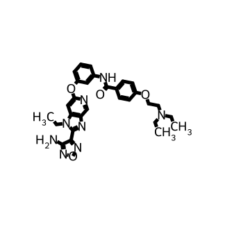 CCN(CC)CCOc1ccc(C(=O)Nc2cccc(Oc3cc4c(cn3)nc(-c3nonc3N)n4CC)c2)cc1